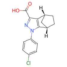 O=C(O)c1nn(-c2ccc(Cl)cc2)c2c1[C@@H]1CC[C@H]2C1